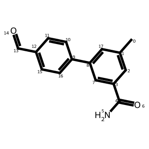 Cc1cc(C(N)=O)cc(-c2ccc(C=O)cc2)c1